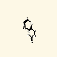 O=C1CC2=C(CO1)OC=C=N2